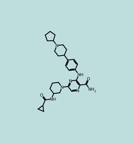 NC(=O)c1ncc(N2CCCC(NC(=O)C3CC3)C2)nc1Nc1ccc(C2CCN(C3CCCC3)CC2)cc1